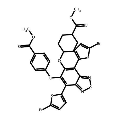 COC(=O)c1ccc(Oc2c(OC3CCC(C(=O)OC)CC3)c(-c3ccc(Br)s3)c3nsnc3c2-c2ccc(Br)s2)cc1